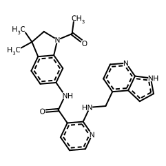 CC(=O)N1CC(C)(C)c2ccc(NC(=O)c3cccnc3NCc3ccnc4[nH]ccc34)cc21